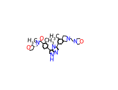 Cc1cc(-c2c[nH]c3ncc(-c4cc(C)c5c(c4)CN(CCN4CCOCC4)CC5)nc23)ccc1C(=O)N(C)C[C@@H]1CCOC1